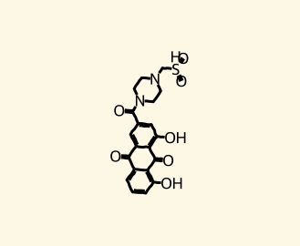 O=C1c2cccc(O)c2C(=O)c2c(O)cc(C(=O)N3CCN(C[SH](=O)=O)CC3)cc21